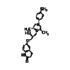 Cc1ccc(N2CC(C)N(C[C@H](O)COc3ccc4[nH]c(=O)ccc4c3)C(C)C2)cc1